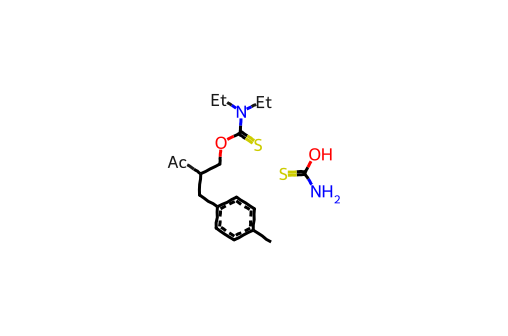 CCN(CC)C(=S)OCC(Cc1ccc(C)cc1)C(C)=O.NC(O)=S